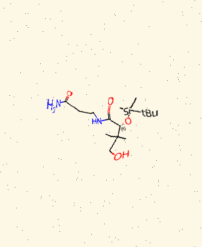 CC(C)(CO)[C@@H](O[Si](C)(C)C(C)(C)C)C(=O)NCCC(N)=O